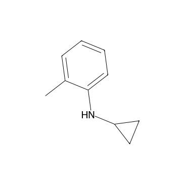 Cc1ccccc1NC1CC1